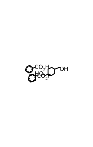 O=C(O)c1ccccc1.O=C(O)c1ccccc1.OCC1CCC(CO)CC1